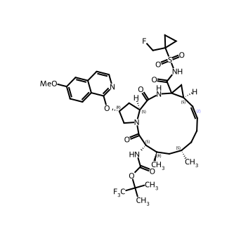 COc1ccc2c(O[C@@H]3C[C@H]4C(=O)NC5(C(=O)NS(=O)(=O)C6(CF)CC6)C[C@H]5/C=C\CC[C@H](C)C[C@@H](C)[C@H](NC(=O)OC(C)(C)C(F)(F)F)C(=O)N4C3)nccc2c1